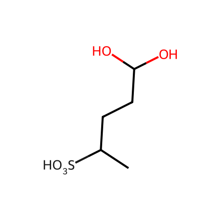 CC(CCC(O)O)S(=O)(=O)O